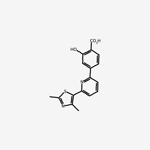 Cc1nc(C)c(-c2cccc(-c3ccc(C(=O)O)c(O)c3)n2)s1